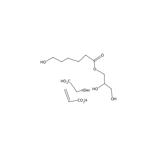 C=CC(=O)O.CCCCCCCCCCCC(=O)O.O=C(CCCCCO)OCC(O)CO